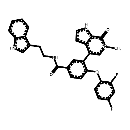 Cn1cc(-c2cc(C(=O)NCCc3c[nH]c4ccccc34)ccc2Oc2ccc(F)cc2F)c2cc[nH]c2c1=O